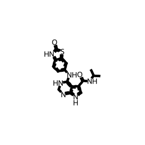 CC(C)NC(=O)c1c[nH]c2c1=C(Nc1ccc3[nH]c(=O)sc3c1)NCN=2